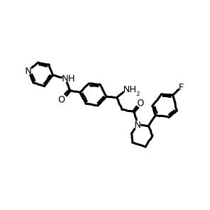 NC(CC(=O)N1CCCCC1c1ccc(F)cc1)c1ccc(C(=O)Nc2ccncc2)cc1